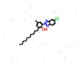 CCCCCCCCCCc1cc(C)cc(-n2nc3ccc(Cl)cc3n2)c1O